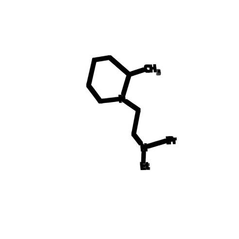 CCN(CCN1CCCCC1C)C(C)C